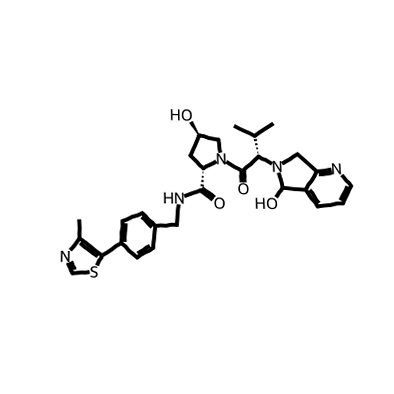 Cc1ncsc1-c1ccc(CNC(=O)[C@@H]2C[C@@H](O)CN2C(=O)[C@H](C(C)C)N2Cc3ncccc3C2O)cc1